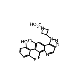 O=C(O)N1CC(n2nnc3cnc4c(F)c(-c5c(O)cccc5F)c(Cl)cc4c32)C1